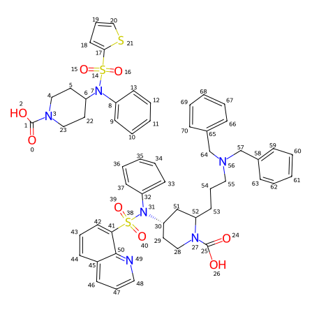 O=C(O)N1CCC(N(c2ccccc2)S(=O)(=O)c2cccs2)CC1.O=C(O)N1CC[C@H](N(c2ccccc2)S(=O)(=O)c2cccc3cccnc23)CC1CCCN(Cc1ccccc1)Cc1ccccc1